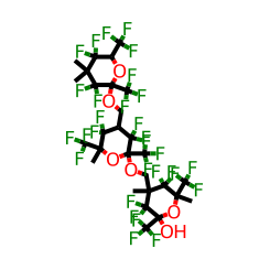 CC1(C)C(F)(F)C(C(F)(F)F)OC(OCC2C(F)(F)C(C)(C(F)(F)F)OC(OCC3(C)C(F)(F)C(C)(C(F)(F)F)OC(O)(C(F)(F)F)C3(F)F)(C(F)(F)F)C2(F)F)(C(F)(F)F)C1(F)F